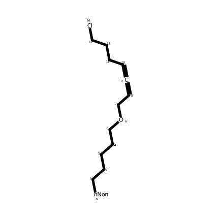 CCCCCCCCCCCCCCOCC=C=CCCCCl